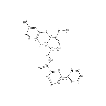 CC(C)(C)OC(=O)N1Cc2cc(O)ccc2C[C@H]1[C@H](O)CNC(=O)c1cccc(-c2ccccn2)c1